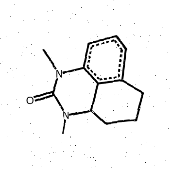 CN1C(=O)N(C)C2CCCc3cccc1c32